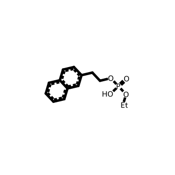 CCOP(=O)(O)OCCc1ccc2ccccc2c1